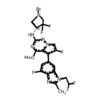 COc1nc(N[C@@H]2CN(C(C)=O)CC2(F)F)nn2cc(F)c(-c3cc(F)c4nc(C)n(CC(F)F)c4c3)c12